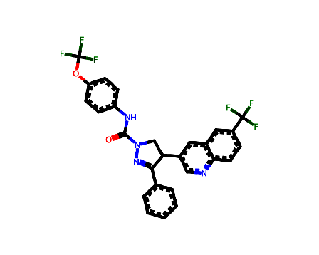 O=C(Nc1ccc(OC(F)(F)F)cc1)N1CC(c2cnc3ccc(C(F)(F)F)cc3c2)C(c2ccccc2)=N1